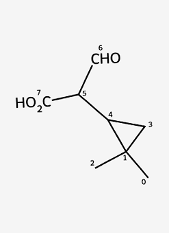 CC1(C)CC1C(C=O)C(=O)O